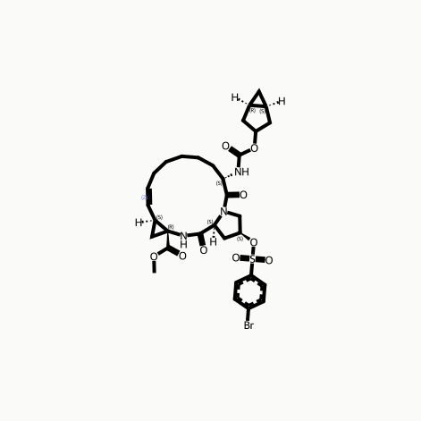 COC(=O)[C@@]12C[C@H]1/C=C\CCCCC[C@H](NC(=O)OC1C[C@@H]3C[C@@H]3C1)C(=O)N1C[C@@H](OS(=O)(=O)c3ccc(Br)cc3)C[C@H]1C(=O)N2